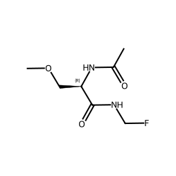 COC[C@@H](NC(C)=O)C(=O)NCF